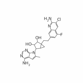 Cc1cc2c(N)ncnc2n1C1C(O)C(O)C2(CCc3cc(F)c4cc(Cl)c(N)nc4c3)CC12